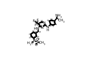 C[C@H](N)c1ccc(Nc2ncc(C(F)(F)F)c(NCc3cccc(N(C)S(C)(=O)=O)c3)n2)cc1